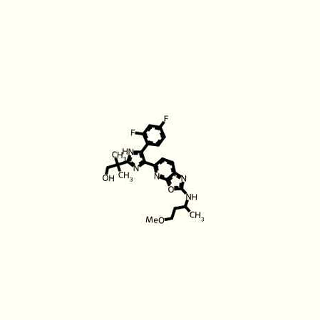 COCCC(C)Nc1nc2ccc(-c3nc(C(C)(C)CO)[nH]c3-c3ccc(F)cc3F)nc2o1